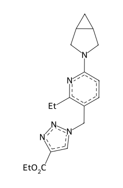 CCOC(=O)c1cn(Cc2ccc(N3CC4CC4C3)nc2CC)nn1